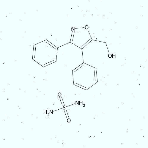 NS(N)(=O)=O.OCc1onc(-c2ccccc2)c1-c1ccccc1